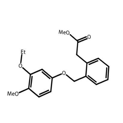 CCOc1cc(OCc2ccccc2CC(=O)OC)ccc1OC